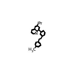 CC1=C=CC=C(CCc2cccc(-c3cc(C(C)C)cc4cccnc34)c2)C=C1